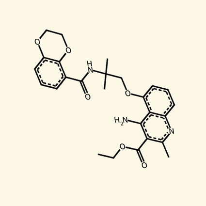 CCOC(=O)c1c(C)nc2cccc(OCC(C)(C)NC(=O)c3cccc4c3OCCO4)c2c1N